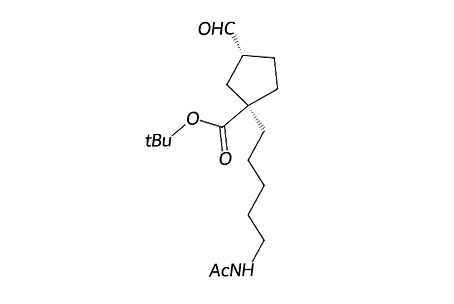 CC(=O)NCCCCC[C@@]1(C(=O)OC(C)(C)C)CC[C@@H](C=O)C1